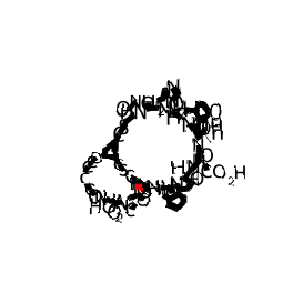 C[C@@H](O)[C@@H]1NC(=O)[C@H](CC(=O)O)NC(=O)[C@@H]2CCCN2C(=O)[C@H](Cc2ccccc2)NC(=O)[C@@H]2CSCc3cc(cc(c3)OCCCCCCO/N=C/C(=O)N[C@@H](CC(=O)O)C(=O)N2)CSC[C@@H](C(N)=O)NC(=O)[C@H](Cc2cnc[nH]2)NC(=O)[C@H](Cc2ccc(O)cc2)NC1=O